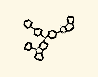 c1ccc(-c2ccc(N(c3ccc(-c4nc5ccc6ccccc6c5o4)cc3)c3ccc4c5ccccc5n(-c5ccccc5)c4c3)cc2)cc1